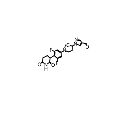 O=Cc1cnn(C2CCN(c3cc(F)c(C4CCC(=O)NC4=O)c(F)c3)CC2)c1